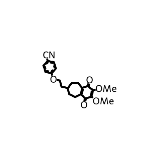 COC1=C(OC)C(=O)C2=C(CCC(CCOc3ccc(C#N)cc3)CC2)C1=O